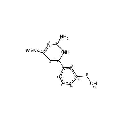 CNC1=NC(N)NC(c2cccc(CO)c2)=C1